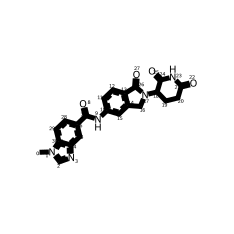 Cn1cnc2cc(C(=O)Nc3ccc4c(c3)CN(C3CCC(=O)NC3=O)C4=O)ccc21